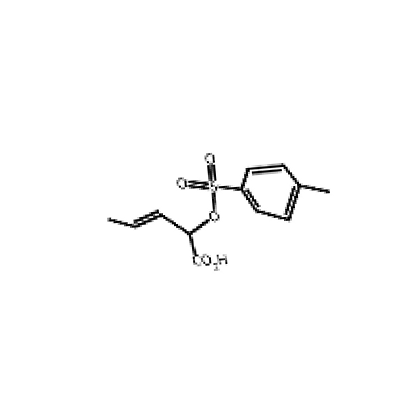 CC=CC(OS(=O)(=O)c1ccc(C)cc1)C(=O)O